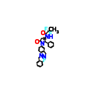 CC(F)(F)C(=O)N[C@H]1CC(=O)N(c2ccc3c(cnn3Cc3ccccc3F)c2)C1c1ccccc1